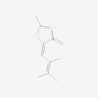 C=c1[nH]c(C)n/c1=C/C(C)=C(\C)F